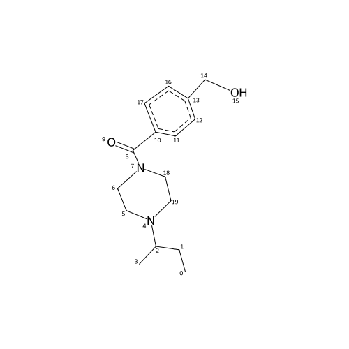 CCC(C)N1CCN(C(=O)c2ccc(CO)cc2)CC1